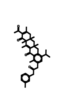 CC(=O)C1=C(C)CC2(C)CC3(C)Cc4c(C(C)C)cc(CC(=O)Cc5cccc(C)c5)c(C)c4C(=O)C3=C(C)C2(C)C1=O